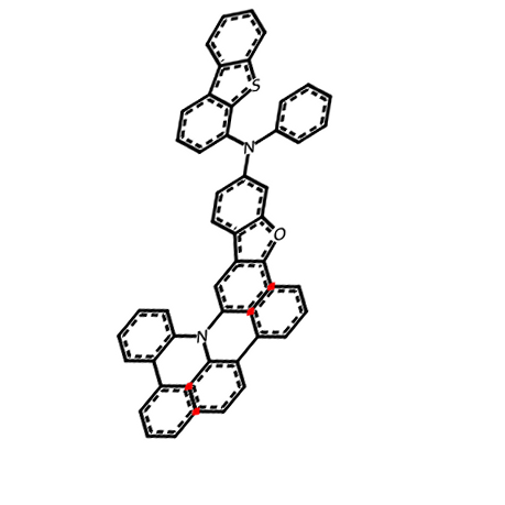 c1ccc(-c2ccccc2N(c2ccc3oc4cc(N(c5ccccc5)c5cccc6c5sc5ccccc56)ccc4c3c2)c2ccccc2-c2ccccc2)cc1